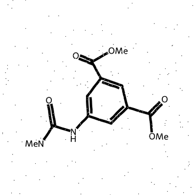 CNC(=O)Nc1cc(C(=O)OC)cc(C(=O)OC)c1